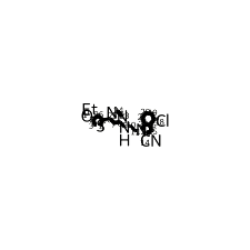 CCOc1csc(-c2cc(NCCn3c(C#N)cc4c(Cl)cccc43)ncn2)c1